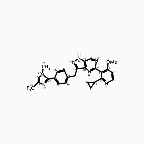 COc1ccnc(C2CC2)c1-c1ncc2[nH]nc(Cc3ccc(-c4nc(C(F)(F)F)cn4C)cc3)c2n1